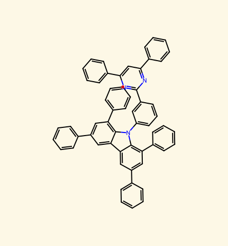 c1ccc(-c2cc(-c3ccccc3)c3c(c2)c2cc(-c4ccccc4)cc(-c4ccccc4)c2n3-c2cccc(-c3nc(-c4ccccc4)cc(-c4ccccc4)n3)c2)cc1